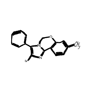 Cc1ccc2c(c1)OCn1c-2nc(Br)c1-c1ccccc1